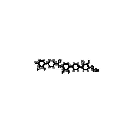 CCCCOc1ccc(C2=CCC(c3ccc(OC(=O)C4CCC(c5ccc(C)c(F)c5F)CC4)c(F)c3F)CC2)c(F)c1F